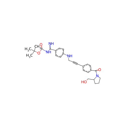 CC(C)(C)OC(=O)NC(=N)c1ccc(NCC#Cc2ccc(C(=O)N3CCCC3CO)cc2)cc1